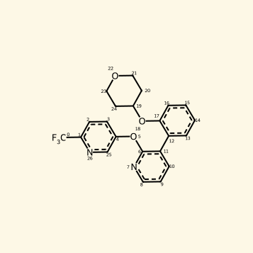 FC(F)(F)c1ccc(Oc2ncccc2-c2ccccc2OC2CCOCC2)cn1